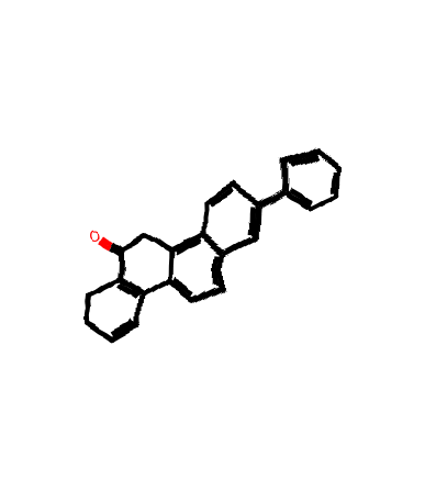 O=C1Cc2c(ccc3cc(-c4ccccc4)ccc23)C2=C1CCC=C2